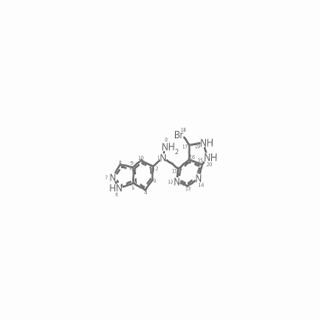 NN(c1ccc2[nH]ncc2c1)c1ncnc2c1C(Br)NN2